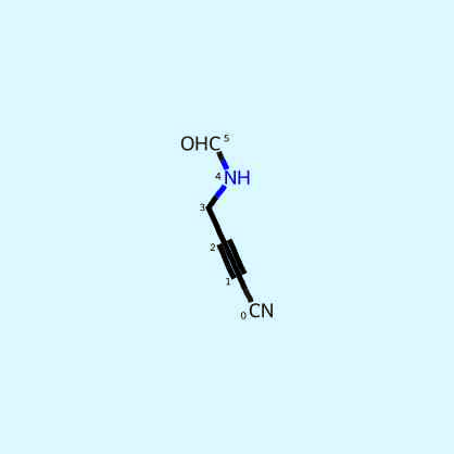 N#CC#CCNC=O